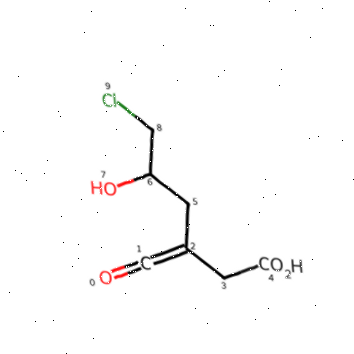 O=C=C(CC(=O)O)CC(O)CCl